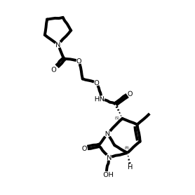 CC1=C[C@@H]2CN(C(=O)N2O)[C@@H]1C(=O)NOCOC(=O)N1CCCC1